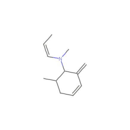 C=C1C=CCC(C)C1N(C)/C=C\C